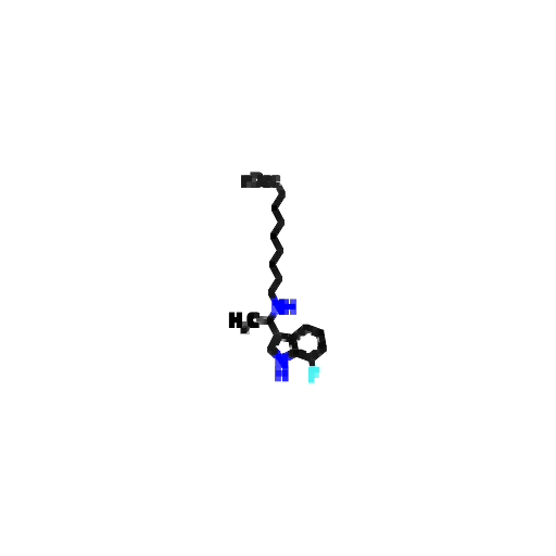 C=C(NCCCCCCCCCCCCCCCCCC)c1c[nH]c2c(F)cccc12